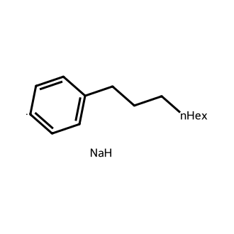 CCCCCCCCCc1cc[c]cc1.[NaH]